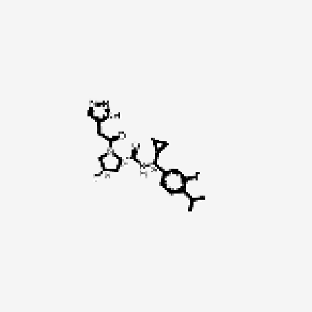 CC(C)c1ccc([C@@H](NC(=O)[C@@H]2C[C@@H](F)CN2C(=O)Cc2cnn[nH]2)C2CC2)cc1F